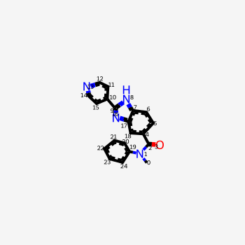 CN(C(=O)c1ccc2[nH]c(-c3ccncc3)nc2c1)c1ccccc1